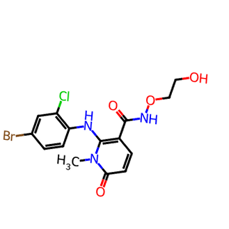 Cn1c(Nc2ccc(Br)cc2Cl)c(C(=O)NOCCO)ccc1=O